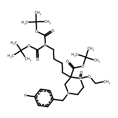 CCOP1(=O)CCN(Cc2ccc(F)cc2)CC1(CCCCN(C(=O)OC(C)(C)C)C(=O)OC(C)(C)C)C(=O)OC(C)(C)C